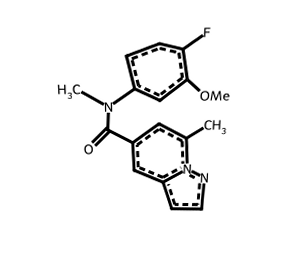 COc1cc(N(C)C(=O)c2cc(C)n3nccc3c2)ccc1F